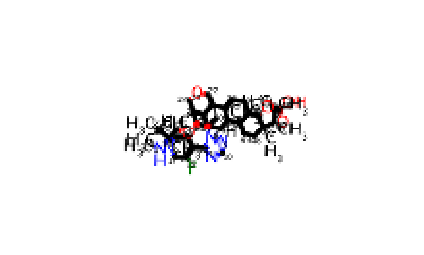 CN[C@@](C)(CO[C@H]1[C@H](n2ncnc2-c2ccncc2F)C[C@@]23COC[C@]1(C)[C@@H]2CC[C@H]1C3=CC[C@]2(C)[C@H](OC(=O)O)[C@@](C)([C@H](C)C(C)C)CC[C@]12C)C(C)(C)C